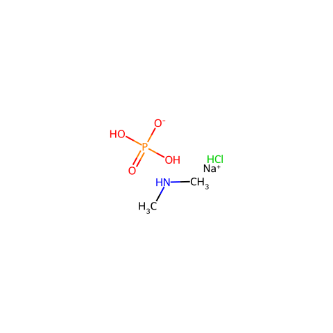 CNC.Cl.O=P([O-])(O)O.[Na+]